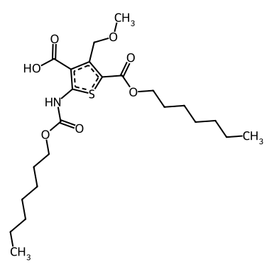 CCCCCCCOC(=O)Nc1sc(C(=O)OCCCCCCC)c(COC)c1C(=O)O